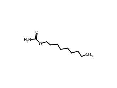 CCCCCCCCCOC(N)=O